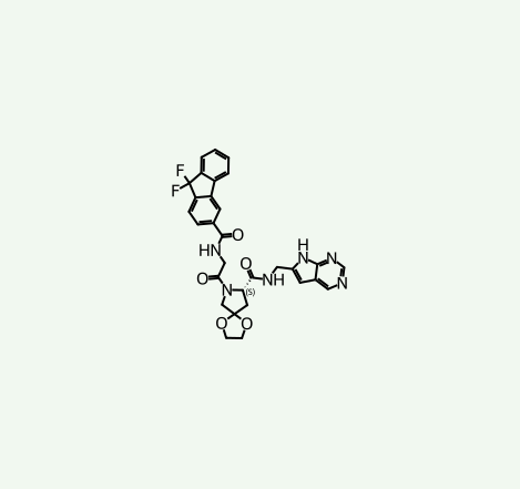 O=C(NCC(=O)N1CC2(C[C@H]1C(=O)NCc1cc3cncnc3[nH]1)OCCO2)c1ccc2c(c1)-c1ccccc1C2(F)F